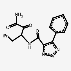 CC(C)CC(NC(=O)c1nsnc1-c1ccccc1)C(=O)C(N)=O